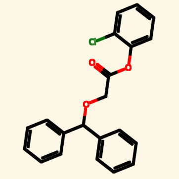 O=C(COC(c1ccccc1)c1ccccc1)Oc1ccccc1Cl